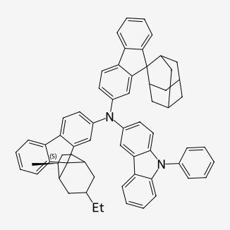 CCC1CC2CC[C@H](C)C(C1)C21c2ccccc2-c2ccc(N(c3ccc4c(c3)C3(c5ccccc5-4)C4CC5CC(C4)CC3C5)c3ccc4c(c3)c3ccccc3n4-c3ccccc3)cc21